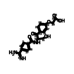 N=C(N)c1ccc(C(=O)NC(CO)C(=O)c2ccc(OCC(=O)O)cc2)cc1